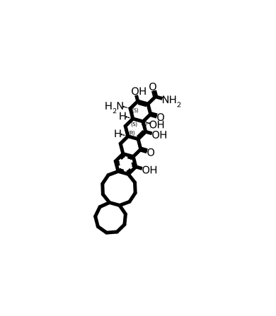 NC(=O)C1=C(O)[C@@H](N)[C@@H]2C[C@@H]3Cc4cc5c(c(O)c4C(=O)C3=C(O)[C@]2(O)C1=O)CCCC1CCCCCCCC1CCC5